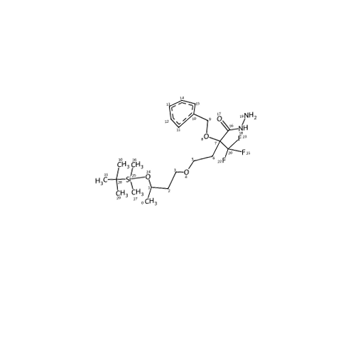 CC(CCOCCC(OCc1ccccc1)(C(=O)NN)C(F)(F)F)O[Si](C)(C)C(C)(C)C